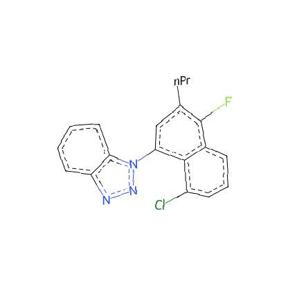 CCCc1cc(-n2nnc3ccccc32)c2c(Cl)cccc2c1F